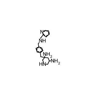 NC1CNCC(N)(Cc2ccc(CNCc3ccccn3)cc2)C1